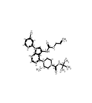 C=CCOC(=O)Nc1cn(-c2cc(Cl)ccn2)c2ncnc(N3CCN(C(=O)OC(C)(C)C)C[C@@H]3C)c12